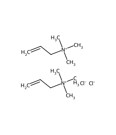 C=CC[N+](C)(C)C.C=CC[N+](C)(C)C.[Cl-].[Cl-]